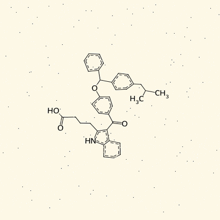 CC(C)Cc1ccc(C(Oc2ccc(C(=O)c3c(CCCC(=O)O)[nH]c4ccccc34)cc2)c2ccccc2)cc1